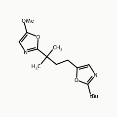 COc1cnc(C(C)(C)CCc2cnc(C(C)(C)C)o2)o1